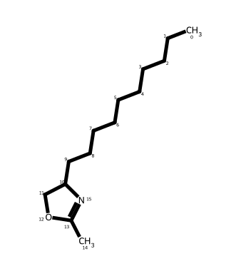 CCCCCCCCCCC1COC(C)=N1